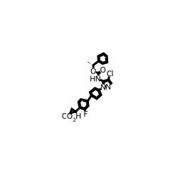 C[C@@H](OC(=O)Nc1c(Cl)cnn1-c1ccc(-c2ccc(C3(C(=O)O)CC3)c(F)c2)cc1)c1ccccc1